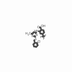 Cc1cc(Nc2cc(C(F)(F)F)ccc2C(=O)O)nc(SCc2ccccc2Cl)n1